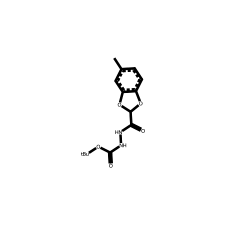 Cc1ccc2c(c1)OC(C(=O)NNC(=O)OC(C)(C)C)O2